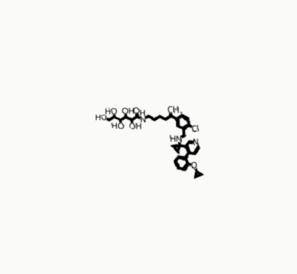 CC(CCCCNC(=O)C(O)C(O)C(O)C(O)CO)c1ccc(Cl)c(CNC2(c3cnccc3-c3ccccc3OC3CC3)CC2)c1